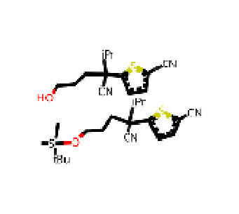 CC(C)C(C#N)(CCCO)c1ccc(C#N)s1.CC(C)C(C#N)(CCCO[Si](C)(C)C(C)(C)C)c1ccc(C#N)s1